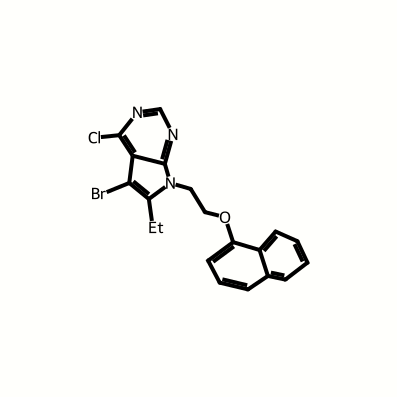 CCc1c(Br)c2c(Cl)ncnc2n1CCOc1cccc2ccccc12